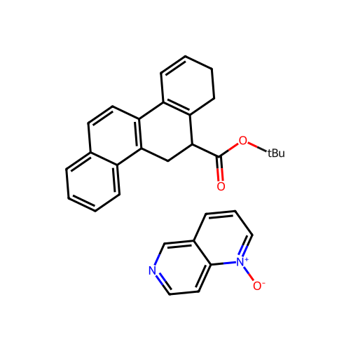 CC(C)(C)OC(=O)C1Cc2c(ccc3ccccc23)C2=C1CCC=C2.[O-][n+]1cccc2cnccc21